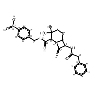 CC1(Br)CSC2C(NC(=O)Cc3ccccc3)C(=O)N2C1C(=O)OCc1ccc([N+](=O)[O-])cc1